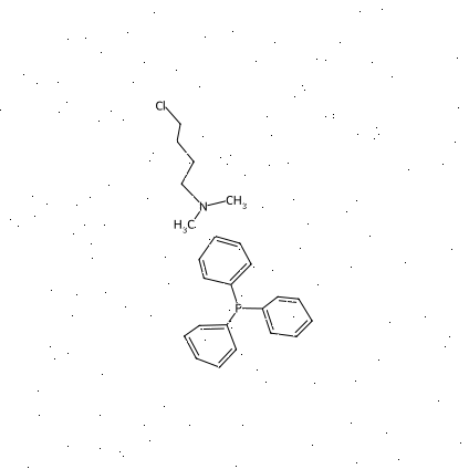 CN(C)CCCCCl.c1ccc(P(c2ccccc2)c2ccccc2)cc1